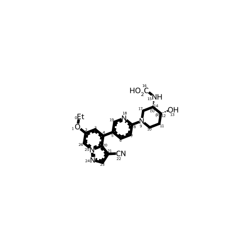 CCOc1cc(-c2ccc(N3CC[C@@H](O)[C@@H](NC(=O)O)C3)nc2)c2c(C#N)cnn2c1